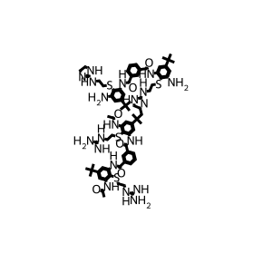 CC(=O)Nc1cc(C(C)(C)C)cc(NC(=O)c2cccc(C(=O)Nc3cc(C(C)(C)CC4CNC(NCCSc5c(N)cc(C(C)(C)C)cc5NC(=O)c5cccc(C(=O)Nc6cc(C(C)(C)C)cc(N)c6SCCNC6=NCCN6)c5)=N4)cc(NC(C)=O)c3SCCNC(=N)N)c2)c1SCCNC(=N)N